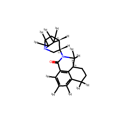 [2H]c1c([2H])c2c3c(c1[2H])C([2H])([2H])CC[C@@H]3C([2H])([2H])N([C@@H]1CN3CC[C@H]1C([2H])([2H])C3([2H])[2H])C2=O